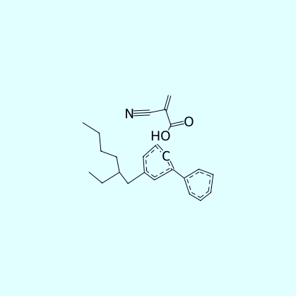 C=C(C#N)C(=O)O.CCCCC(CC)Cc1cccc(-c2ccccc2)c1